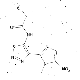 Cn1c([N+](=O)[O-])cnc1-c1nnsc1NC(=O)CCl